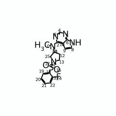 CN(c1ncnc2[nH]ccc12)[C@@H]1CCN(S(=O)(=O)c2ccccc2F)C1